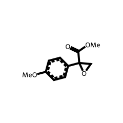 COC(=O)C1(c2ccc(OC)cc2)CO1